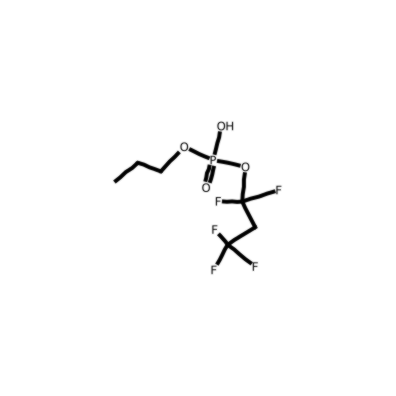 CCCOP(=O)(O)OC(F)(F)CC(F)(F)F